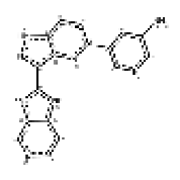 Nc1cncc(-c2ccc3[nH]nc(-c4nc5cnccc5[nH]4)c3n2)c1